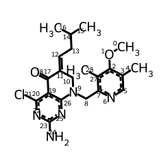 COc1c(C)cnc(CN2CC(=CCC(C)C)C(=O)c3c(Cl)nc(N)nc32)c1C